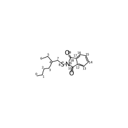 CCCCC(CC)CSN1C(=O)c2ccccc2C1=O